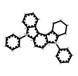 c1ccc(-n2c3c(c4c5c6ccccc6p(-c6ccccc6)c5ccc42)CCCC3)cc1